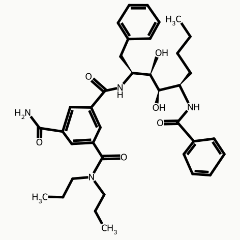 CCCC[C@@H](NC(=O)c1ccccc1)[C@@H](O)[C@H](O)[C@H](Cc1ccccc1)NC(=O)c1cc(C(N)=O)cc(C(=O)N(CCC)CCC)c1